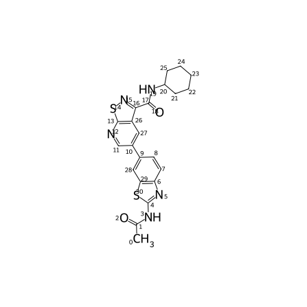 CC(=O)Nc1nc2ccc(-c3cnc4snc(C(=O)NC5CCCCC5)c4c3)cc2s1